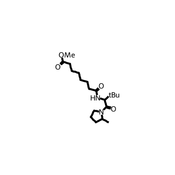 COC(=O)CCCCCCC(=O)NC(C(=O)N1CCCC1C)C(C)(C)C